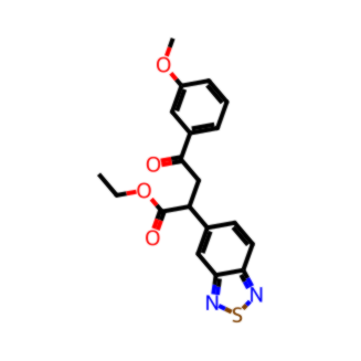 CCOC(=O)C(CC(=O)c1cccc(OC)c1)c1ccc2nsnc2c1